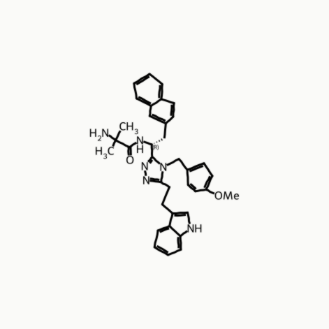 COc1ccc(Cn2c(CCc3c[nH]c4ccccc34)nnc2[C@@H](Cc2ccc3ccccc3c2)NC(=O)C(C)(C)N)cc1